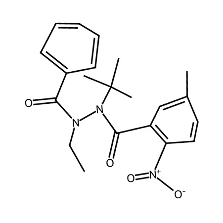 CCN(C(=O)c1ccccc1)N(C(=O)c1cc(C)ccc1[N+](=O)[O-])C(C)(C)C